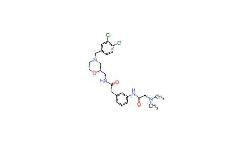 CN(C)CC(=O)Nc1cccc(CC(=O)NCC2CN(Cc3ccc(Cl)c(Cl)c3)CCO2)c1